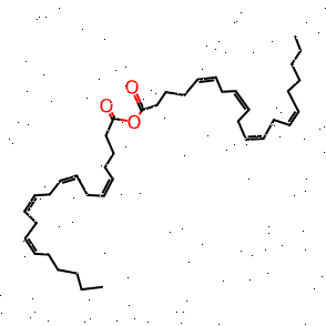 CCCCC/C=C\C/C=C\C/C=C\C/C=C\CCCC(=O)OC(=O)CCC/C=C\C/C=C\C/C=C\C/C=C\CCCCC